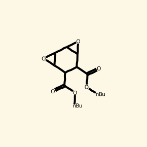 CCCCOC(=O)C1C2OC2C2OC2C1C(=O)OCCCC